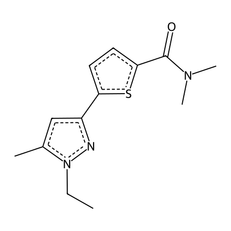 CCn1nc(-c2ccc(C(=O)N(C)C)s2)cc1C